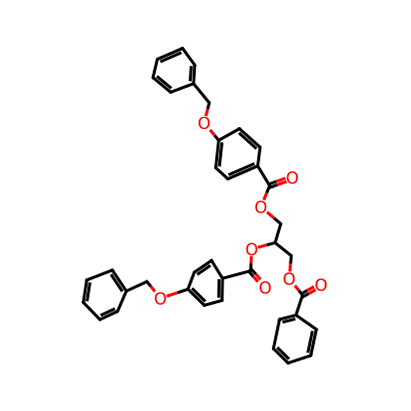 O=C(OCC(COC(=O)c1ccc(OCc2ccccc2)cc1)OC(=O)c1ccc(OCc2ccccc2)cc1)c1ccccc1